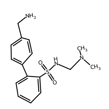 CN(C)CNS(=O)(=O)c1ccccc1-c1ccc(CN)cc1